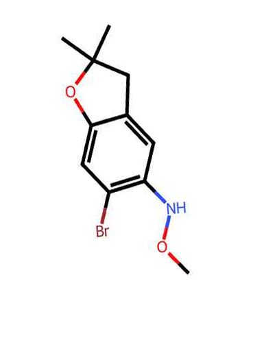 CONc1cc2c(cc1Br)OC(C)(C)C2